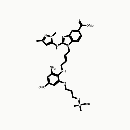 COC(=O)c1ccc2c(c1)nc(Nc1cc(C)nn1C)n2C/C=C/CNc1c(N)cc(C=O)cc1OCCCO[Si](C)(C)C(C)(C)C